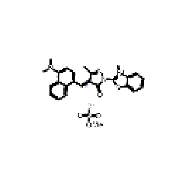 CC1=NN(c2sc3ccccc3[n+]2C)C(=O)/C1=C/c1ccc(N(C)C)c2ccccc12.COS(=O)(=O)[O-]